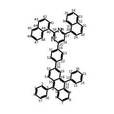 c1ccc(-c2c3ccccc3c(-c3ccccc3)c3cc(-c4ccc(-c5cc(-c6cccc7ccccc67)nc(-c6cccc7ccccc67)n5)cc4)ccc23)cc1